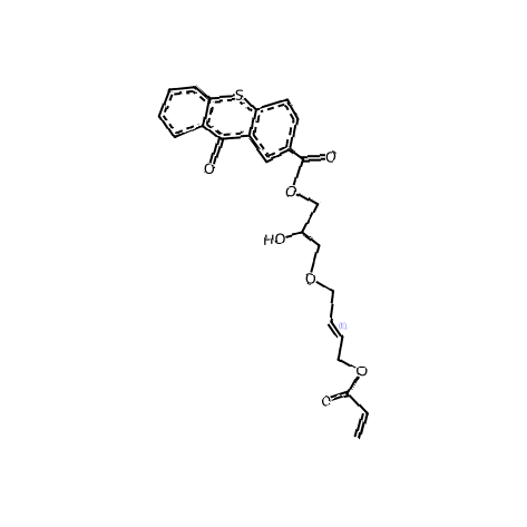 C=CC(=O)OC/C=C/COCC(O)COC(=O)c1ccc2sc3ccccc3c(=O)c2c1